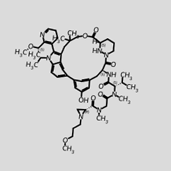 CCn1c(C2=C([C@H](C)OC)N=CCC2)c2c3cc(ccc31)-c1cc(O)cc(c1)C[C@H](NC(=O)[C@H](C(C)C)N(C)C(=O)CN(C)C(=O)[C@H]1CN1CCCOC)C(=O)N1CCC[C@H](N1)C(=O)OCC(C)(C)C2